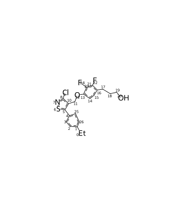 CCc1ccc(-c2snc(Cl)c2COc2ccc(CCCO)c(F)c2F)cc1